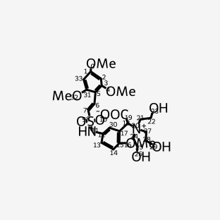 COc1cc(OC)c(/C=C/S(=O)(=O)Nc2ccc(OC)c(C(C(=O)[O-])[N+](CCO)(CCO)CCO)c2)c(OC)c1